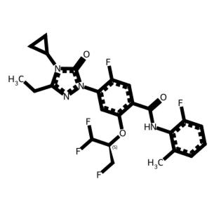 CCc1nn(-c2cc(O[C@@H](CF)C(F)F)c(C(=O)Nc3c(C)cccc3F)cc2F)c(=O)n1C1CC1